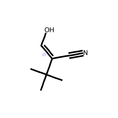 CC(C)(C)/C(C#N)=C/O